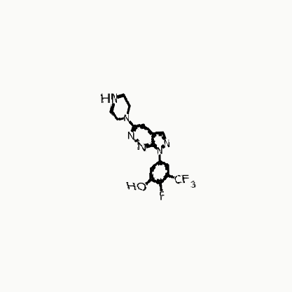 Oc1cc(-n2ncc3cc(N4CCNCC4)nnc32)cc(C(F)(F)F)c1F